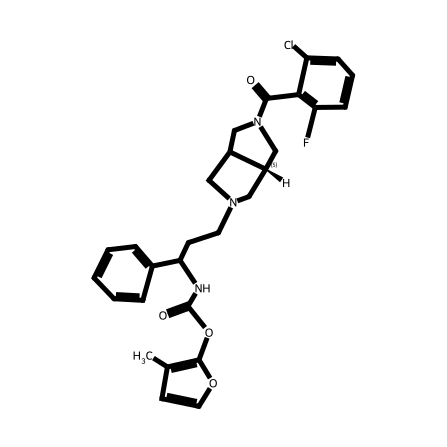 Cc1ccoc1OC(=O)NC(CCN1CC2CN(C(=O)c3c(F)cccc3Cl)C[C@@H]2C1)c1ccccc1